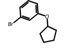 Brc1cccc(OC2CCCC2)c1